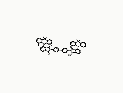 CC1C=CC=C2C1N(c1cccc3c1C(=O)N(c1ccc(-c4ccc(N5C(=O)c6c(cccc6N6c7ccccc7C(C)(C)c7ccccc76)C5O)cc4)cc1)C3=O)c1ccccc1C2(C)C